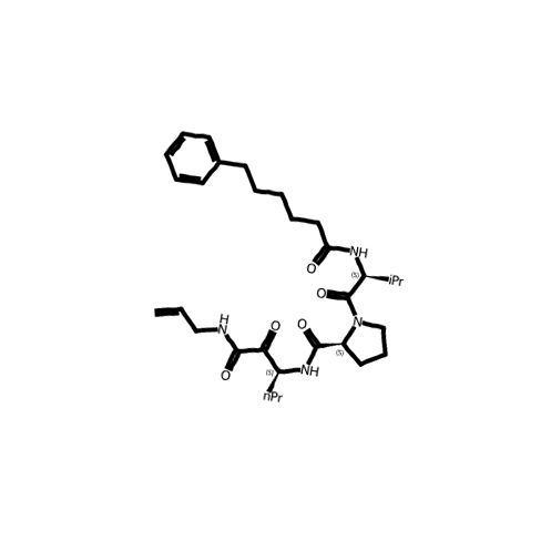 C=CCNC(=O)C(=O)[C@H](CCC)NC(=O)[C@@H]1CCCN1C(=O)[C@@H](NC(=O)CCCCCc1ccccc1)C(C)C